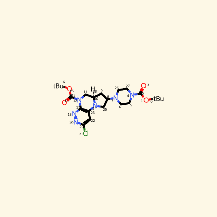 CC(C)(C)OC(=O)N1CCN(C2C[C@@H]3CN(C(=O)OC(C)(C)C)c4nnc(Cl)cc4N3C2)CC1